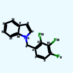 Fc1ccc(Cn2ccc3ccccc32)c(F)c1F